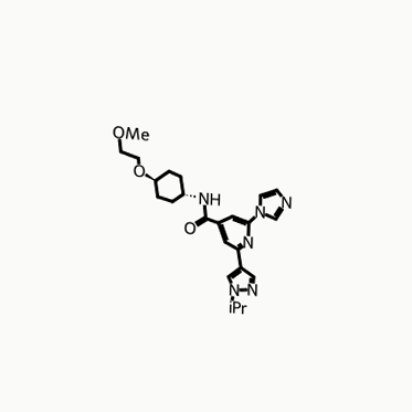 COCCO[C@H]1CC[C@H](NC(=O)c2cc(-c3cnn(C(C)C)c3)nc(-n3ccnc3)c2)CC1